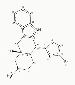 CN1CCN2[C@@H](Cc3c([nH]c4ccccc34)[C@@H]2c2ccc(Br)s2)C1